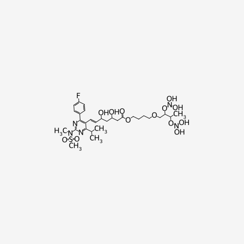 CC(C)c1nc(N(C)S(C)(=O)=O)nc(-c2ccc(F)cc2)c1/C=C/C(O)CC(O)CC(=O)OCCCCOCC(ON(O)O)C(C)ON(O)O